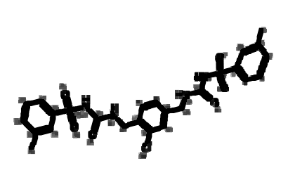 Cc1cccc(S(=O)(=O)NC(=O)NCc2ccc(CNC(=O)NS(=O)(=O)c3cccc(C)c3)c(Cl)c2)c1